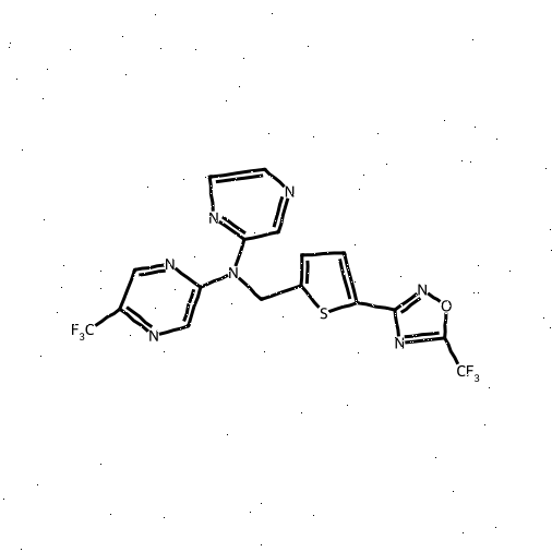 FC(F)(F)c1cnc(N(Cc2ccc(-c3noc(C(F)(F)F)n3)s2)c2cnccn2)cn1